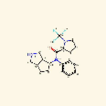 O=C([C@@H]1CCCN1C(F)(F)F)N(c1ccccc1)C1CCC2CNCC21